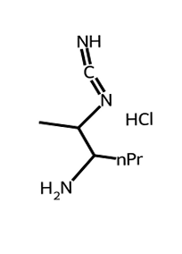 CCCC(N)C(C)N=C=N.Cl